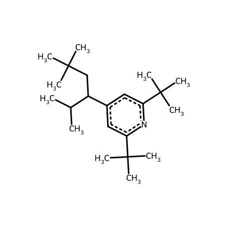 CC(C)C(CC(C)(C)C)c1cc(C(C)(C)C)nc(C(C)(C)C)c1